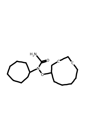 NC(=O)N(OC1CCCCCCCCC1)C1CCCCCCC1